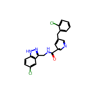 O=C(NCc1n[nH]c2ccc(Cl)cc12)c1cncc(Cc2ccccc2Cl)c1